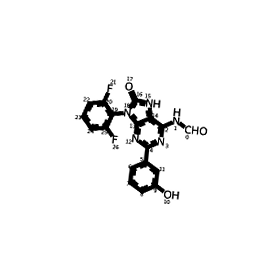 O=CNc1nc(-c2cccc(O)c2)nc2c1[nH]c(=O)n2-c1c(F)cccc1F